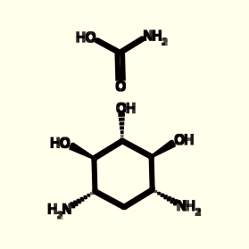 NC(=O)O.N[C@@H]1C[C@H](N)[C@@H](O)[C@H](O)[C@H]1O